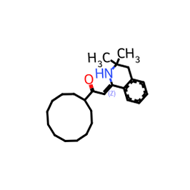 CC1(C)Cc2ccccc2/C(=C/C(=O)C2CCCCCCCCCCC2)N1